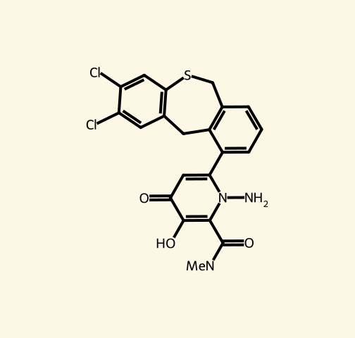 CNC(=O)c1c(O)c(=O)cc(-c2cccc3c2Cc2cc(Cl)c(Cl)cc2SC3)n1N